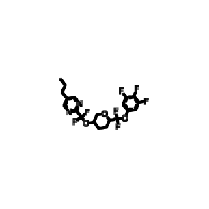 CCCc1cnc(C(F)(F)OC2CCC(C(F)(F)Oc3cc(F)c(F)c(F)c3)OC2)nc1